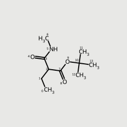 CCC(C(=O)NC)C(=O)OC(C)(C)C